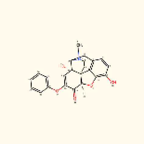 CN1CC[C@]23c4c5ccc(O)c4O[C@H]2C(=O)C(Oc2ccccc2)=C[C@@]3(O)C1C5